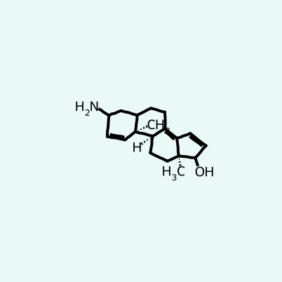 C[C@]12CC[C@@H]3C(=C1C=CC2O)CCC1CC(N)C=C[C@@]13C